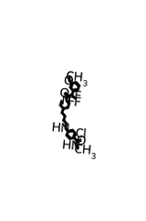 CNC(=O)c1ccc(NCCCCC2CCN(C(=O)C(c3cccc(OC)c3)C(F)(F)F)CC2)cc1Cl